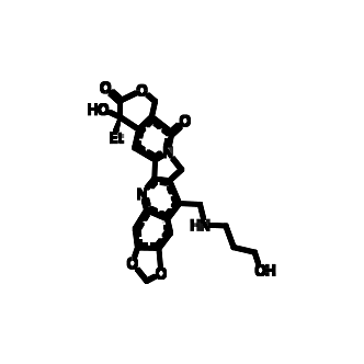 CC[C@@]1(O)C(=O)OCc2c1cc1n(c2=O)Cc2c-1nc1cc3c(cc1c2CNCCCO)OCO3